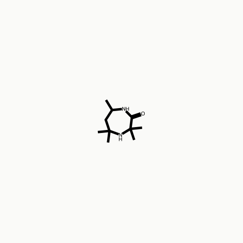 CC1CC(C)(C)NC(C)(C)C(=O)N1